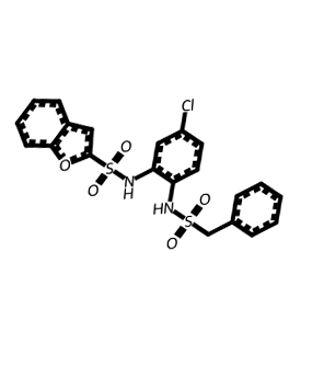 O=S(=O)(Cc1ccccc1)Nc1ccc(Cl)cc1NS(=O)(=O)c1cc2ccccc2o1